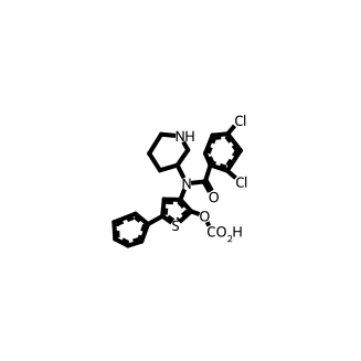 O=C(O)Oc1sc(-c2ccccc2)cc1N(C(=O)c1ccc(Cl)cc1Cl)C1CCCNC1